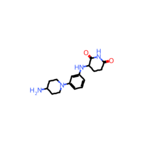 NC1CCN(c2cccc(NC3CCC(=O)NC3=O)c2)CC1